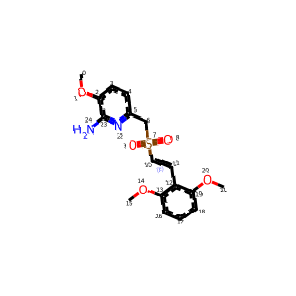 COc1ccc(CS(=O)(=O)/C=C/c2c(OC)cccc2OC)nc1N